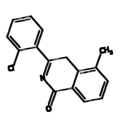 Cc1cccc2c1CC(c1ccccc1Cl)=NC2=O